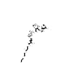 CCCSCCNC(=O)CCNC(=O)C(O)C(C)(C)COP(=O)(O)OP(=O)(O)OC[C@H]1O[C@@H](n2cnc3c(N)ncnc32)C(O)[C@H]1OP(=O)(O)O